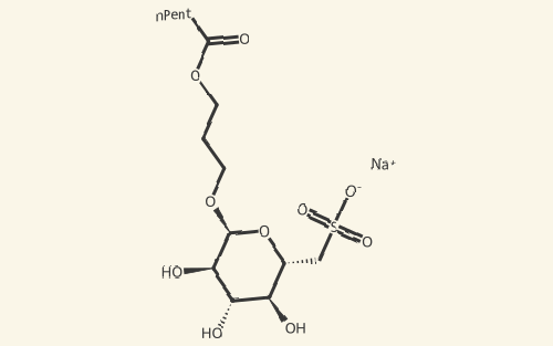 CCCCCC(=O)OCCCO[C@H]1O[C@H](CS(=O)(=O)[O-])[C@@H](O)[C@H](O)[C@H]1O.[Na+]